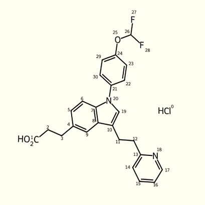 Cl.O=C(O)CCc1ccc2c(c1)c(CCc1ccccn1)cn2-c1ccc(OC(F)F)cc1